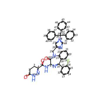 O=C1CCC(C(=O)NC2N=C(c3ccccc3F)c3ccccc3N(Cc3cn(C(c4ccccc4)(c4ccccc4)c4ccccc4)cn3)C2=O)=NN1